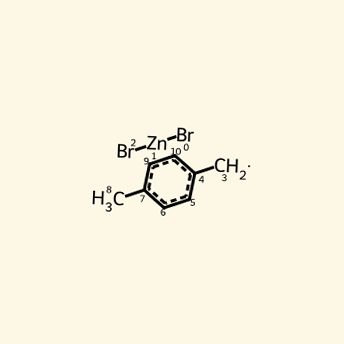 [Br][Zn][Br].[CH2]c1ccc(C)cc1